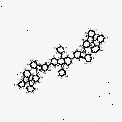 c1ccc(-c2c3ccc(-c4ccc5c(c4)c4ccccc4n5-c4ccc5c(c4)C4(c6ccccc6-c6ccccc64)c4ccccc4-5)cc3c(-c3ccccc3)c3ccc(-c4ccc5c(c4)c4ccccc4n5-c4ccc5c(c4)C4(c6ccccc6-c6ccccc64)c4ccccc4-5)cc23)cc1